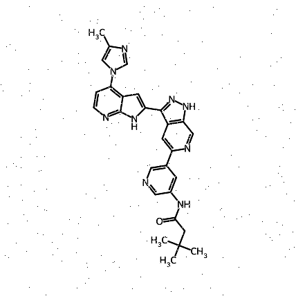 Cc1cn(-c2ccnc3[nH]c(-c4n[nH]c5cnc(-c6cncc(NC(=O)CC(C)(C)C)c6)cc45)cc23)cn1